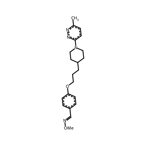 CON=Cc1ccc(OCCCC2CCN(c3ccc(C)nn3)CC2)cc1